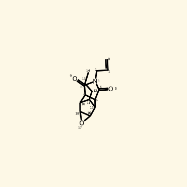 C=CCN1C(=O)C2C(C1=O)C1C(CCC)C2C2OC21